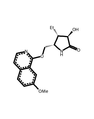 CC[C@H]1[C@@H](COc2nccc3ccc(OC)cc23)NC(=O)[C@@H]1O